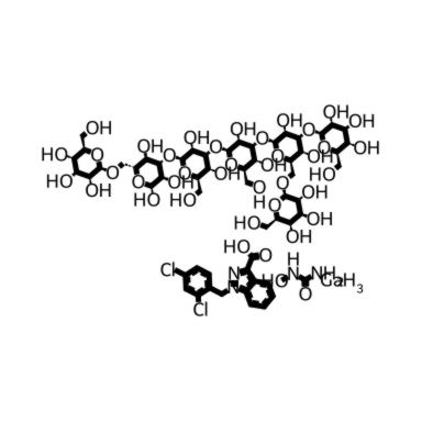 NC(=O)NO.O=C(O)c1nn(Cc2ccc(Cl)cc2Cl)c2ccccc12.OC[C@H]1O[C@@H](OC[C@H]2O[C@@H](O)[C@H](O)[C@@H](O[C@@H]3O[C@H](CO)[C@@H](O)[C@H](O[C@@H]4O[C@H](CO)[C@@H](O)[C@H](O[C@@H]5O[C@H](CO[C@@H]6O[C@H](CO)[C@@H](O)[C@H](O)[C@H]6O)[C@@H](O)[C@H](O[C@@H]6O[C@H](CO)[C@@H](O)[C@H](O)[C@H]6O)[C@H]5O)[C@H]4O)[C@H]3O)[C@@H]2O)[C@H](O)[C@@H](O)[C@@H]1O.[GaH3]